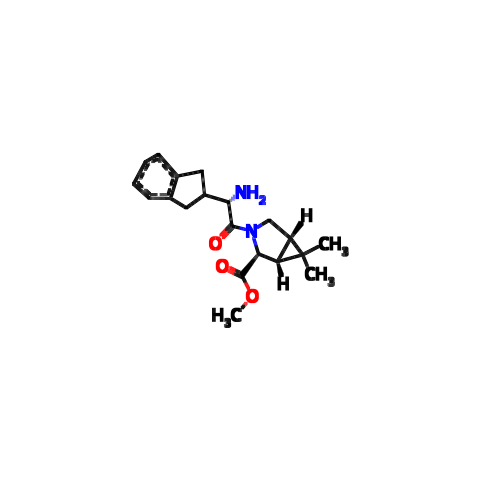 COC(=O)[C@@H]1[C@@H]2[C@H](CN1C(=O)[C@@H](N)C1Cc3ccccc3C1)C2(C)C